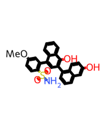 COc1ccc(S(N)(=O)=O)c(-c2cc(-c3cccc4cc(O)ccc34)c(O)c3ccccc23)c1